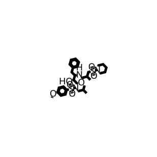 COc1ccc(S(=O)(=O)N(CC(C)C)CC(O)C(Cc2ccccc2)NC(=O)C(C)CS(=O)(=O)N2CCCCC2)cc1